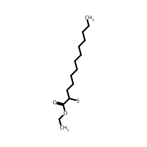 CCCCCCCCCCCC([S])C(=O)OCC